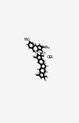 CCC1=[C]([Zr+2](=[CH]c2ccc(C(C)(C)C)cc2)[C]2=C(C)c3cc4c(cc3C2(C)C)Cc2cc3c(cc2-4)C(C)=CC3(C)C)C(C)C=C1C(C)(C)C.[Cl-].[Cl-]